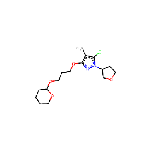 O=[N+]([O-])c1c(OCCCOC2CCCCO2)nn(C2CCOC2)c1Cl